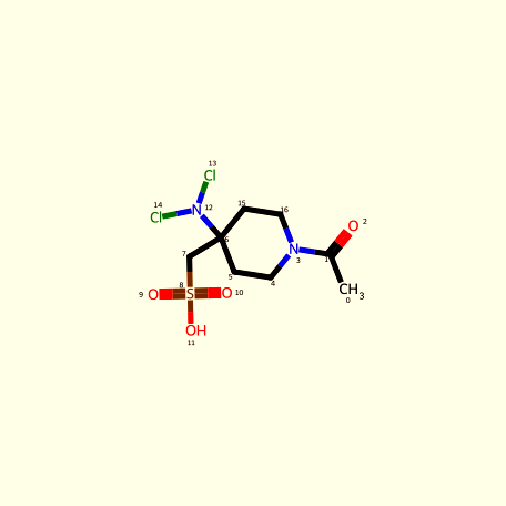 CC(=O)N1CCC(CS(=O)(=O)O)(N(Cl)Cl)CC1